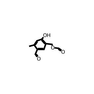 Cc1cc(O)c(COC=O)cc1C=O